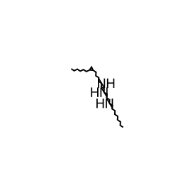 CCCCCCCCCNCCCNCCNCCCCC1CC1CCCCCC